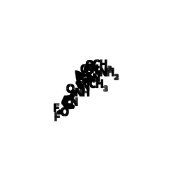 CN1C(N)=N[C@@](C)(c2nc(NC(=O)c3ccc(OC(F)F)cn3)cs2)[C@H](C2CC2)S1(=O)=O